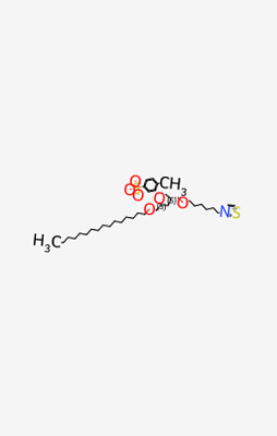 CCCCCCCCCCCCCCCCOC[C@@H]1C[C@@H](COCCCCCC[n+]2ccsc2)CO1.Cc1ccc(S(=O)(=O)[O-])cc1